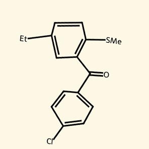 CCc1ccc(SC)c(C(=O)c2ccc(Cl)cc2)c1